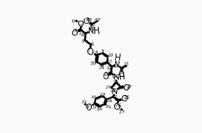 COC(=O)C(CCOc1ccc(C(NC(C)=O)C(=O)NC2CN(C(C(=O)OC)c3ccc(OC)cc3)C2=O)cc1)NC(C)=O